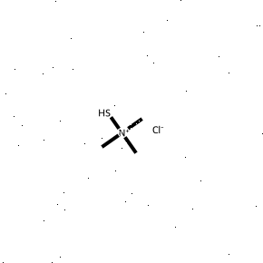 C[N+](C)(C)S.[Cl-]